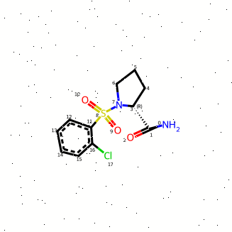 NC(=O)[C@H]1CCCN1S(=O)(=O)c1ccccc1Cl